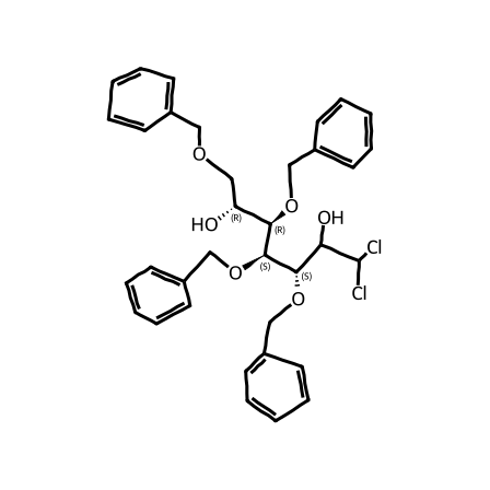 OC(C(Cl)Cl)[C@H](OCc1ccccc1)[C@@H](OCc1ccccc1)[C@H](OCc1ccccc1)[C@H](O)COCc1ccccc1